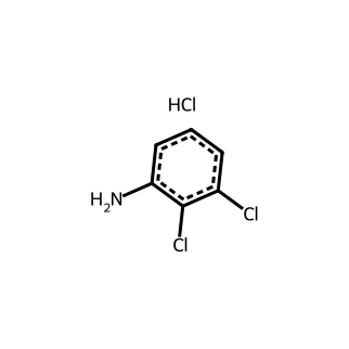 Cl.Nc1cccc(Cl)c1Cl